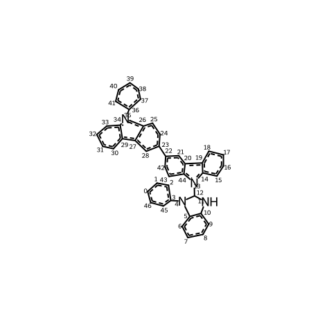 c1ccc(N2c3ccccc3NC2n2c3ccccc3c3cc(-c4ccc5c(c4)c4ccccc4n5-c4ccccc4)ccc32)cc1